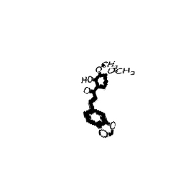 COc1ccc(C(=O)C=Cc2ccc3c(c2)OCO3)c(O)c1OC